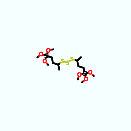 CO[Si](CCC(C)SSSC(C)CC[Si](OC)(OC)OC)(OC)OC